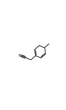 CC1C=CC(CC#N)=CC1